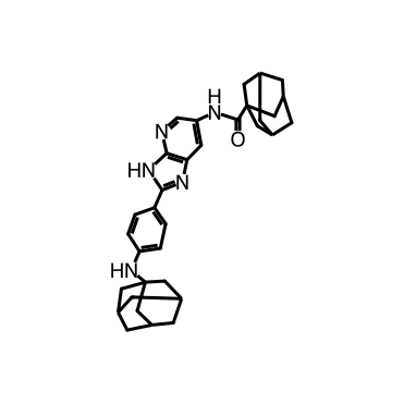 O=C(Nc1cnc2[nH]c(-c3ccc(NC45CC6CC(CC(C6)C4)C5)cc3)nc2c1)C12CC3CC(CC(C3)C1)C2